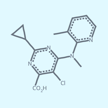 Cc1cccnc1N(C)c1nc(C2CC2)nc(C(=O)O)c1Cl